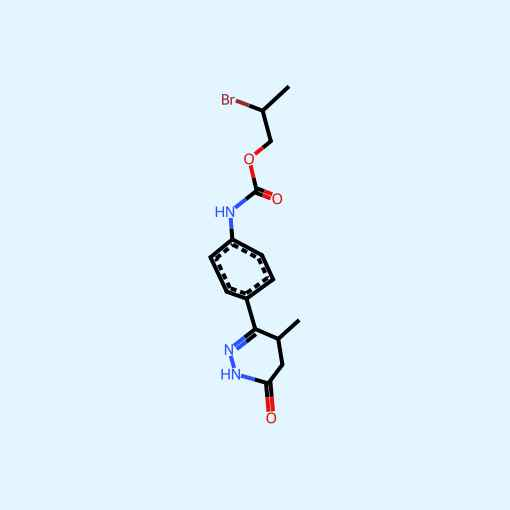 CC(Br)COC(=O)Nc1ccc(C2=NNC(=O)CC2C)cc1